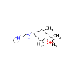 CC(C)=CCCC(C)=CCCC(=CCCC(C)=CCO)CNCCCN1CCCCC1